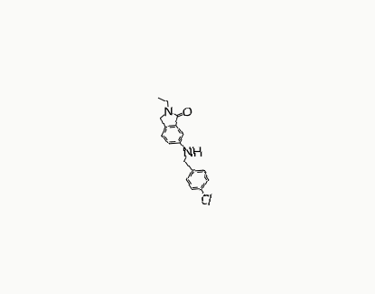 CCN1Cc2ccc(NCc3ccc(Cl)cc3)cc2C1=O